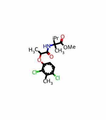 COC(=O)C(C)(NC(=O)C(C)Oc1ccc(Cl)c(C)c1Cl)C(C)C